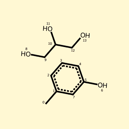 Cc1cccc(O)c1.OCC(O)CO